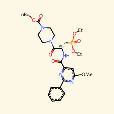 CCCCOC(=O)N1CCN(C(=O)[C@H](CP(=O)(OCC)OCC)NC(=O)c2cc(OC)nc(-c3ccccc3)n2)CC1